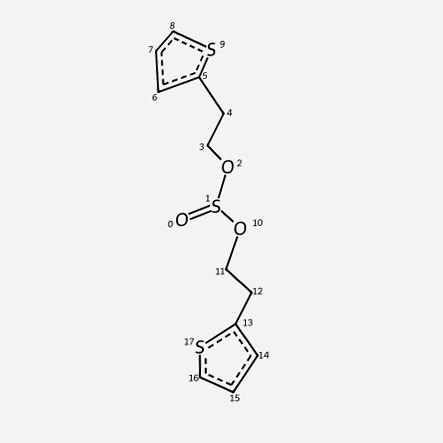 O=S(OCCc1cccs1)OCCc1cccs1